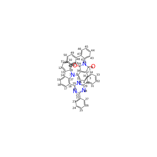 O=C1c2cccc(-n3c4ccccc4c4cccc(-c5nc(-c6ccccc6)nc(-c6ccccc6)n5)c43)c2C(=O)N1c1ccccc1-c1ccccc1